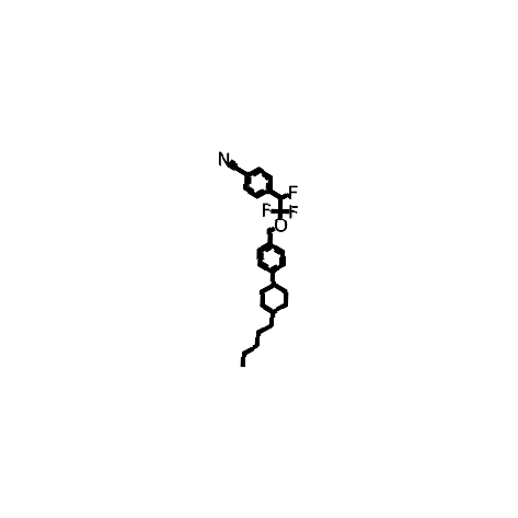 CCCCCC1CCC(c2ccc(COC(F)(F)C(F)c3ccc(C#N)cc3)cc2)CC1